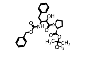 CC(C)(C)OC(=O)[C@@H]1CCCN1C(=O)C(O)C(Cc1ccccc1)NC(=O)OCc1ccccc1